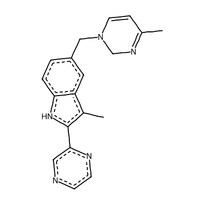 CC1=NCN(Cc2ccc3[nH]c(-c4cnccn4)c(C)c3c2)C=C1